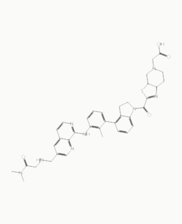 Cc1c(Nc2nccc3cc(CNCC(=O)N(C)C)cnc23)cccc1-c1cccc2c1CCN2C(=O)C1=NC2CCN(CC(=O)O)CC2S1